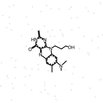 C=c1nc2c(c(=O)[nH]1)=Nc1cc(C)c(N(C)C)cc1N2CCCO